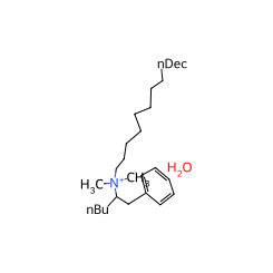 CCCCCCCCCCCCCCCCCC[N+](C)(C)C(CCCC)Cc1ccccc1.O